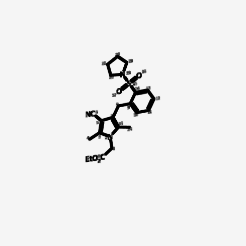 CCOC(=O)Cn1c(C)c(C#N)c(Cc2ccccc2S(=O)(=O)N2CCCC2)c1C